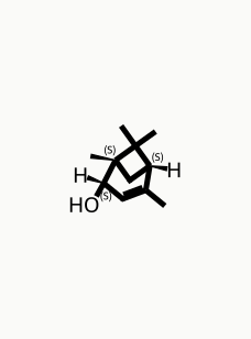 CC1=C[C@H](O)[C@@]2(C)C[C@@H]1C2(C)C